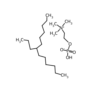 CCCCCCC(CCC)CCCCCC.C[N+](C)(C)CCOP(=O)([O-])O